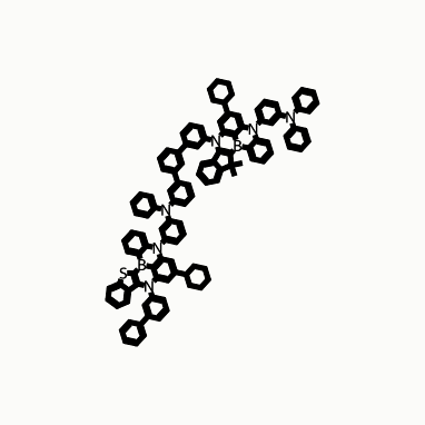 CC1(C)C2=C(c3ccccc31)N(c1cccc(-c3cccc(-c4cccc(N(c5ccccc5)c5cccc(N6c7ccccc7B7c8sc9ccccc9c8N(c8cccc(-c9ccccc9)c8)c8cc(C9CCCCC9)cc6c87)c5)c4)c3)c1)c1cc(C3CCCCC3)cc3c1B2c1ccccc1N3c1cccc(N(c2ccccc2)c2ccccc2)c1